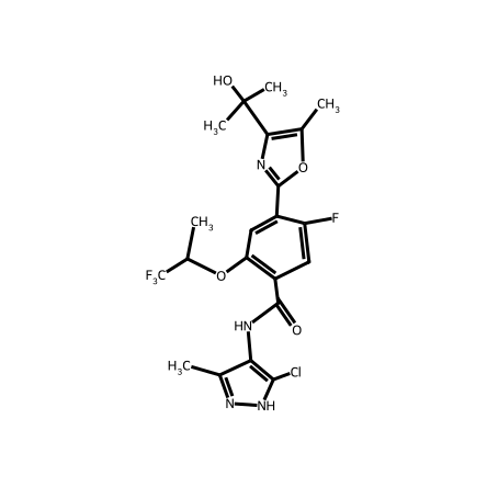 Cc1n[nH]c(Cl)c1NC(=O)c1cc(F)c(-c2nc(C(C)(C)O)c(C)o2)cc1OC(C)C(F)(F)F